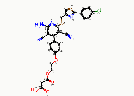 N#Cc1c(N)nc(SCc2csc(-c3ccc(Cl)cc3)n2)c(C#N)c1-c1ccc(OCCOC(=O)CC(=O)O)cc1